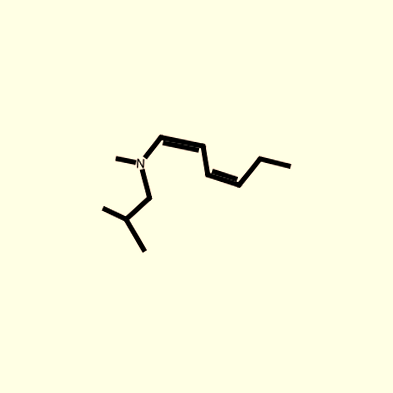 CC/C=C\C=C/N(C)CC(C)C